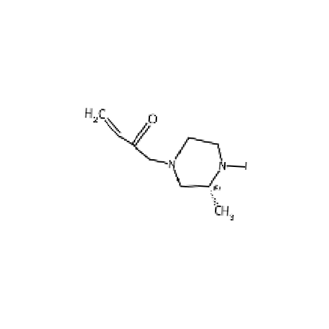 C=CC(=O)CN1CCN(I)[C@H](C)C1